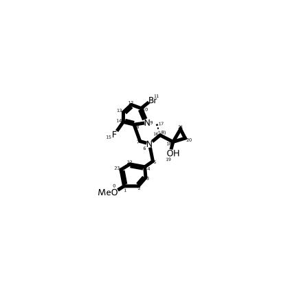 COc1ccc(CN(Cc2nc(Br)ccc2F)[C@H](C)C2(O)CC2)cc1